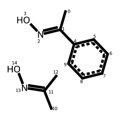 CC(=NO)c1ccccc1.CC(C)=NO